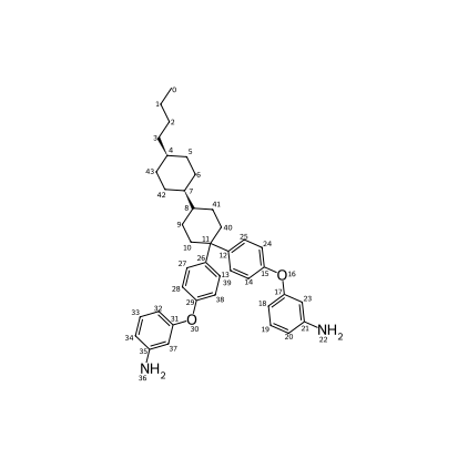 CCCC[C@H]1CC[C@@H](C2CCC(c3ccc(Oc4cccc(N)c4)cc3)(c3ccc(Oc4cccc(N)c4)cc3)CC2)CC1